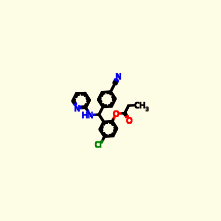 CCC(=O)Oc1ccc(Cl)cc1C(Nc1ccccn1)c1ccc(C#N)cc1